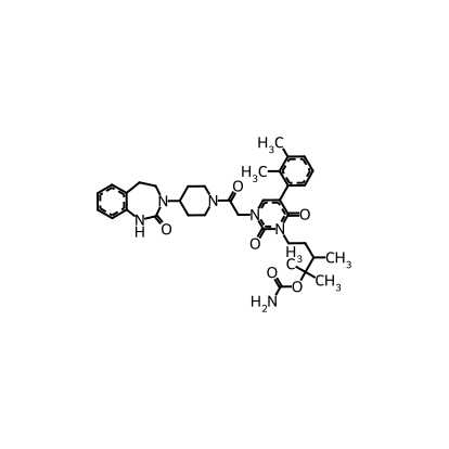 Cc1cccc(-c2cn(CC(=O)N3CCC(N4CCc5ccccc5NC4=O)CC3)c(=O)n(CCC(C)C(C)(C)OC(N)=O)c2=O)c1C